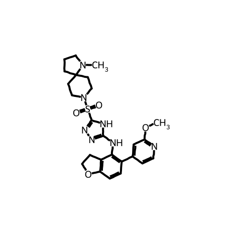 COc1cc(-c2ccc3c(c2Nc2nnc(S(=O)(=O)N4CCC5(CCCN5C)CC4)[nH]2)CCO3)ccn1